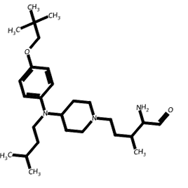 CC(C)CCN(c1ccc(OCC(C)(C)C)cc1)C1CCN(CCC(C)C(N)C=O)CC1